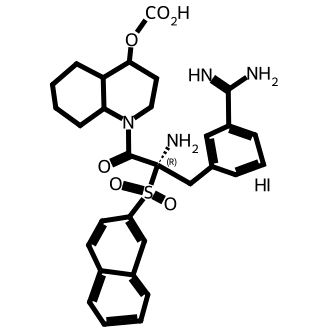 I.N=C(N)c1cccc(C[C@](N)(C(=O)N2CCC(OC(=O)O)C3CCCCC32)S(=O)(=O)c2ccc3ccccc3c2)c1